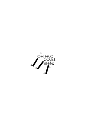 CCCCCCC.CCOC(C)=O.CO.O